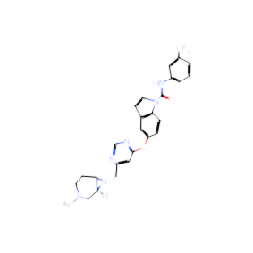 CC(=O)N1CCC2[C@@H](C1)[N@@]2Cc1cc(Oc2ccc3c(ccn3C(=O)Nc3cccc(C(F)(F)F)c3)c2)ncn1